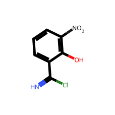 N=C(Cl)c1cccc([N+](=O)[O-])c1O